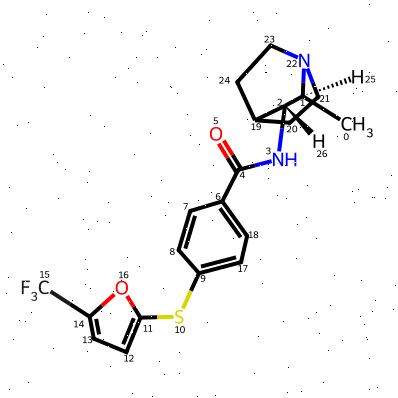 C[C@H]1[C@H](NC(=O)c2ccc(Sc3ccc(C(F)(F)F)o3)cc2)C2CCN1CC2